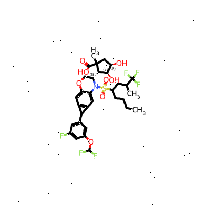 CCCCC(CC(C)C(F)(F)F)S(=O)(=O)N1c2cc3c(cc2OC[C@@H]1C1[C@H](O)[C@H](O)CC1(C)C(=O)O)C3c1cc(F)cc(OC(F)F)c1